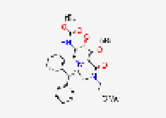 CCCCOc1c2n(cc(NC(=O)OC(C)(C)C)c1=O)[C@@H](C(c1ccccc1)c1ccccc1)CN(CCOC)C2=O